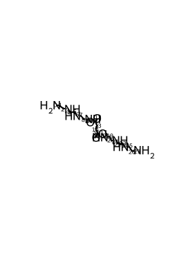 NCCNCCNCCNOC(=O)/C=C/C(=O)ONCCNCCNCCN